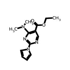 CCOC(=O)c1cnc(-n2cccc2)nc1N(C)C